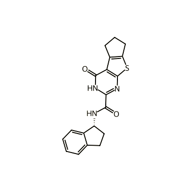 O=C(N[C@@H]1CCc2ccccc21)c1nc2sc3c(c2c(=O)[nH]1)CCC3